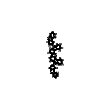 c1cnc2c(c1)sc1ccc(-n3c4ccccc4c4c5sc6c(ccc7c6c6ccccc6n7-c6ccc7sc8cccnc8c7c6)c5ccc43)cc12